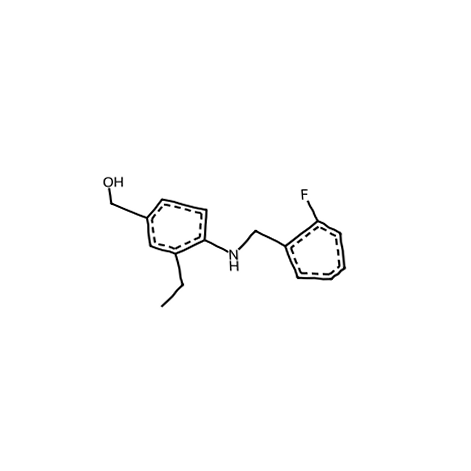 CCc1cc(CO)ccc1NCc1ccccc1F